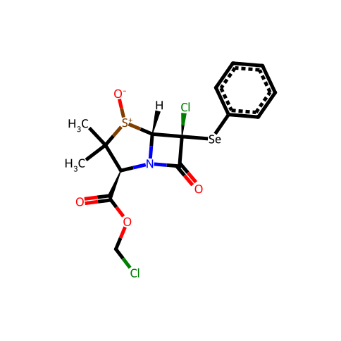 CC1(C)[C@H](C(=O)OCCl)N2C(=O)[C@@](Cl)([Se]c3ccccc3)[C@H]2[S+]1[O-]